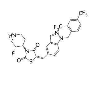 O=C1SC(=Cc2ccc3c(cnn3Cc3ccc(C(F)(F)F)cc3C(F)(F)F)c2)C(=O)N1[C@@H]1CCNC[C@H]1F